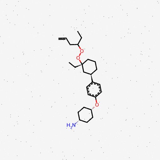 C=CCC(CC)OO[C@]1(CC)CCC[C@@H](c2ccc(O[C@H]3CC[C@@H](N)CC3)cc2)C1